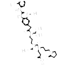 COc1cc(CC(=O)N(CCCN(C(=O)N(CCCN2CCCC2=O)CCC(=O)O)C(C)C)C(C)C)ccc1NC(=O)Nc1ccccc1C